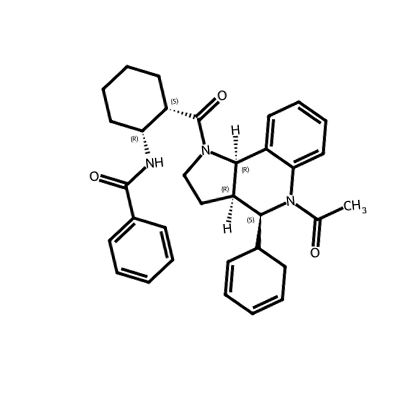 CC(=O)N1c2ccccc2[C@H]2[C@H](CCN2C(=O)[C@H]2CCCC[C@H]2NC(=O)c2ccccc2)[C@@H]1C1C=CC=CC1